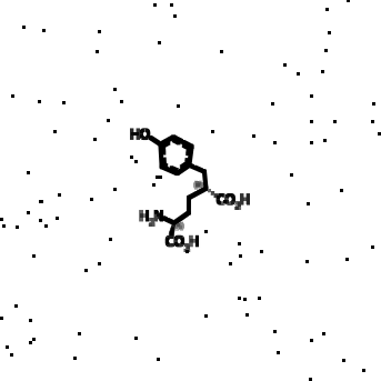 N[C@@H](CC[C@H](Cc1ccc(O)cc1)C(=O)O)C(=O)O